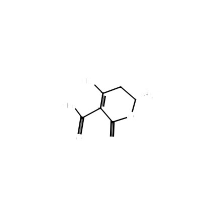 CCCC(=O)C1=C(O)C[C@H](CCC)OC1=O